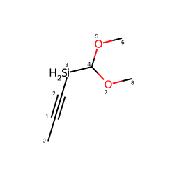 CC#C[SiH2]C(OC)OC